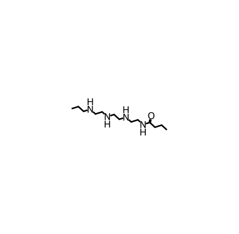 CCCNCCNCCNCCNC(=O)CCC